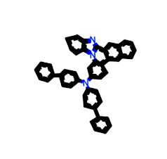 c1ccc(-c2ccc(N(c3ccc(-c4ccccc4)cc3)c3ccc4c5cc6ccccc6cc5c5nc6ccccc6n5c4c3)cc2)cc1